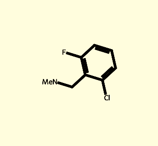 CNCc1c(F)cccc1Cl